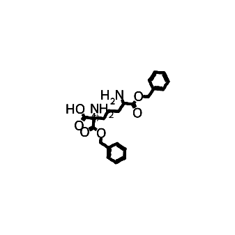 NC(CCC[C@](N)(C(=O)O)C(=O)OCc1ccccc1)C(=O)OCc1ccccc1